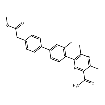 COC(=O)Cc1ccc(-c2ccc(-c3nc(C(N)=O)c(C)nc3C)c(C)c2)cc1